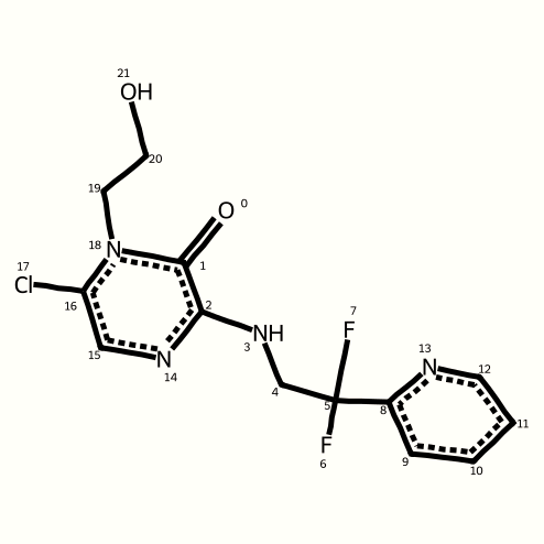 O=c1c(NCC(F)(F)c2ccccn2)ncc(Cl)n1CCO